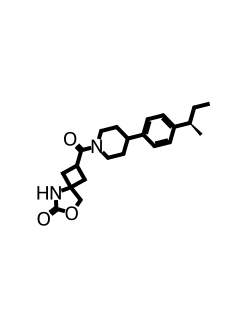 CC[C@@H](C)c1ccc(C2CCN(C(=O)C3CC4(COC(=O)N4)C3)CC2)cc1